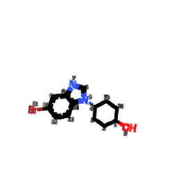 O[C@H]1CC[C@H](n2cnc3cc(Br)ccc32)CC1